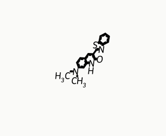 CCN(CC)c1ccc2cc(-c3nc4ccccc4s3)c(=O)[nH]c2c1